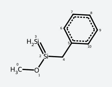 CO[Si](=[SiH2])Cc1ccccc1